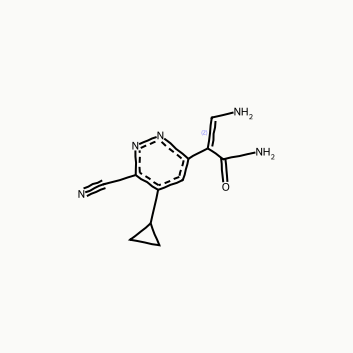 N#Cc1nnc(/C(=C/N)C(N)=O)cc1C1CC1